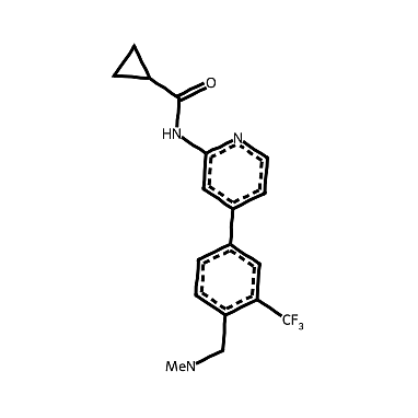 CNCc1ccc(-c2ccnc(NC(=O)C3CC3)c2)cc1C(F)(F)F